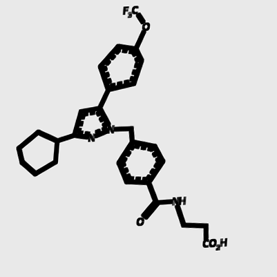 O=C(O)CCNC(=O)c1ccc(Cn2nc(C3CCCCC3)cc2-c2ccc(OC(F)(F)F)cc2)cc1